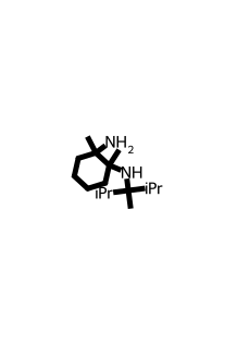 CC(C)C(C)(NC1(C)CCCCC1(C)N)C(C)C